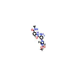 Cc1ccc(C(=O)NC2CC2)cc1NC(=O)c1cc(N2C[C@@H]3C[C@H]2CN3C(=O)OC(C)(C)C)ccc1N